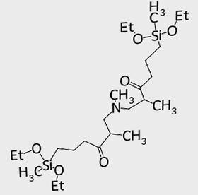 CCO[Si](C)(CCCC(=O)C(C)CN(C)CC(C)C(=O)CCC[Si](C)(OCC)OCC)OCC